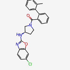 Cc1ccccc1-c1ccccc1C(=O)N1CC[C@@H](Nc2nc3ccc(Cl)cc3o2)C1